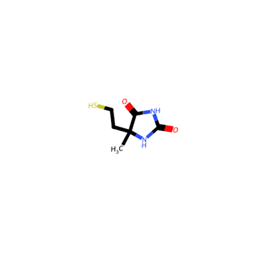 CC1(CCS)NC(=O)NC1=O